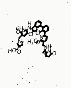 COc1nc(-c2cccc(-c3cccc4c3CC[C@@H]4Nc3nc(OC)c(CN4CC[C@@H](C(=O)O)C4)cc3Cl)c2Cl)ccc1CNC1C[C@@]12CCC(=O)N2